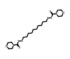 S=C(SSCCCCCCCCCCSSC(=S)N1CCOCC1)N1CCOCC1